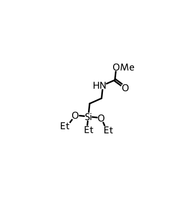 CCO[Si](CC)(CCNC(=O)OC)OCC